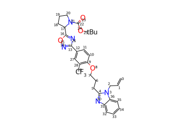 C=CCn1c(CCCOc2ccc(-c3noc(C4CCCN4C(=O)OC(C)(C)C)n3)cc2C(F)(F)F)nc2ccccc21